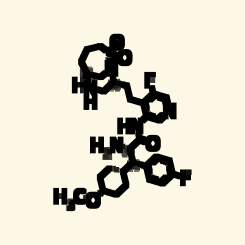 CO[C@H]1CC[C@H]([C@H](c2ccc(F)cc2)[C@H](N)C(=O)Nc2cncc(F)c2CC[C@H]2CN[C@@H]3CCCS(=O)(=O)N2C3)CC1